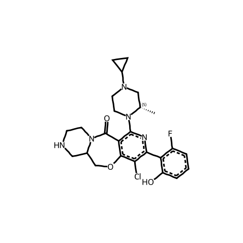 C[C@H]1CN(C2CC2)CCN1c1nc(-c2c(O)cccc2F)c(Cl)c2c1C(=O)N1CCNCC1CO2